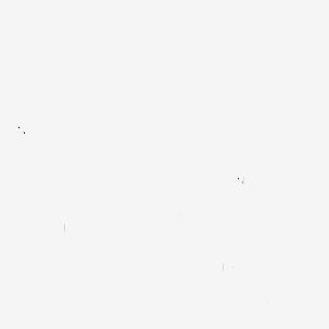 CC1(C)OC(OP(=O)(O)O)=Nc2ccc(-c3cc(F)cc(C#N)c3)cc21.CCOCC